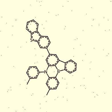 Cc1cccc(N2c3cc(C)ccc3B3c4ccccc4-c4cc(-c5ccc6c(c5)sc5ccccc56)cc2c43)c1